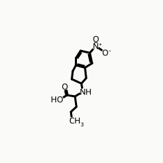 CCCC(NC1CCc2ccc([N+](=O)[O-])cc2C1)C(=O)O